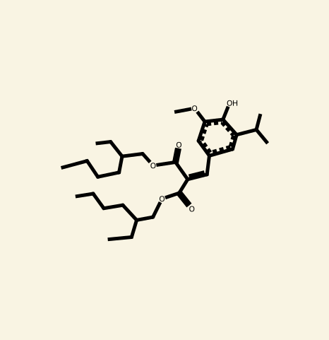 CCCCC(CC)COC(=O)C(=Cc1cc(OC)c(O)c(C(C)C)c1)C(=O)OCC(CC)CCCC